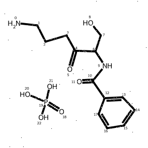 NCCCC(=O)C(CO)NC(=O)c1ccccc1.O=P(O)(O)O